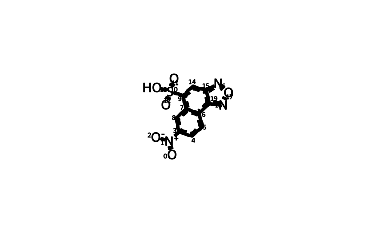 O=[N+]([O-])c1ccc2c(c1)c(S(=O)(=O)O)cc1nonc12